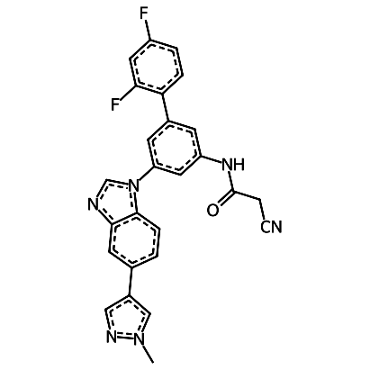 Cn1cc(-c2ccc3c(c2)ncn3-c2cc(NC(=O)CC#N)cc(-c3ccc(F)cc3F)c2)cn1